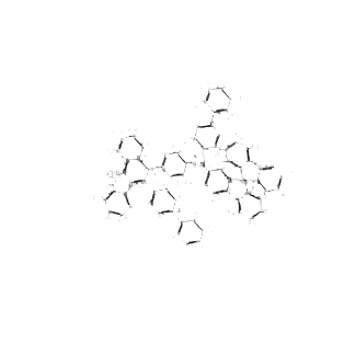 c1ccc(-c2ccc(-c3c(-c4ccc(N(c5ccc(-c6ccccc6)cc5)c5ccc6c(c5)C5(c7ccccc7-c7ccccc75)c5ccccc5-6)cc4)c4ccccc4c4sc5ccccc5c34)cc2)cc1